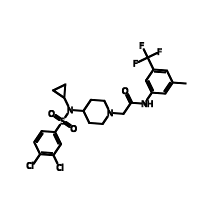 Cc1cc(NC(=O)CN2CCC(N(C3CC3)S(=O)(=O)c3ccc(Cl)c(Cl)c3)CC2)cc(C(F)(F)F)c1